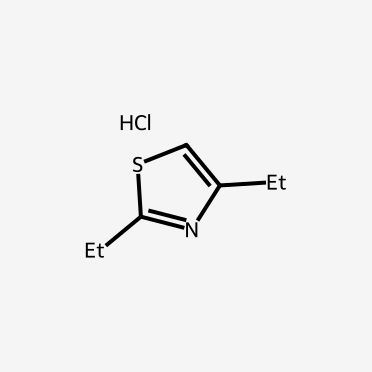 CCc1csc(CC)n1.Cl